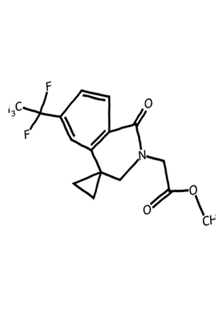 COC(=O)CN1CC2(CC2)c2cc(C(C)(F)F)ccc2C1=O